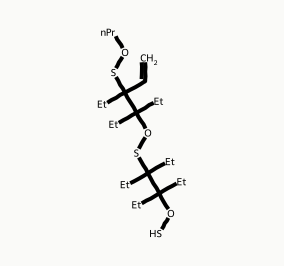 C=CC(CC)(SOCCC)C(CC)(CC)OSC(CC)(CC)C(CC)(CC)OS